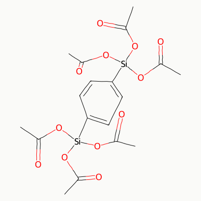 CC(=O)O[Si](OC(C)=O)(OC(C)=O)c1ccc([Si](OC(C)=O)(OC(C)=O)OC(C)=O)cc1